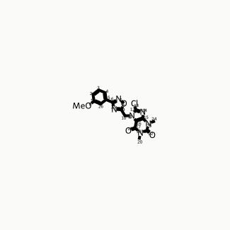 COc1cccc(-c2noc(Cn3c(Cl)nc4c3c(=O)n(C)c(=O)n4C)n2)c1